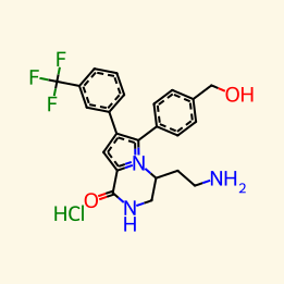 Cl.NCCC1CNC(=O)c2cc(-c3cccc(C(F)(F)F)c3)c(-c3ccc(CO)cc3)n21